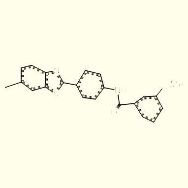 COc1cccc(C(=O)Nc2ccc(-c3nc4ccc(C)cc4s3)cc2)c1